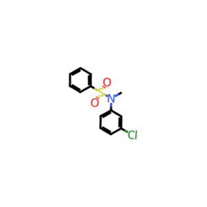 CN(c1cccc(Cl)c1)S(=O)(=O)c1ccccc1